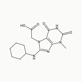 Cn1c(=O)[nH]c(=O)c2c1nc(NC1CCCCC1)n2CC(=O)O